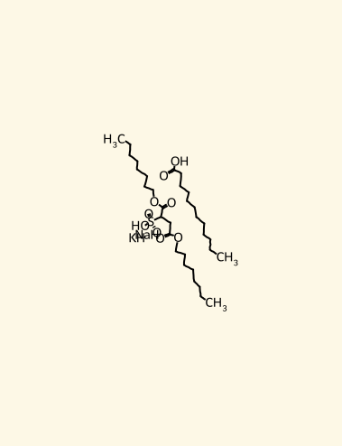 CCCCCCCCCCCC(=O)O.CCCCCCCCOC(=O)CC(C(=O)OCCCCCCCC)S(=O)(=O)O.[KH].[NaH]